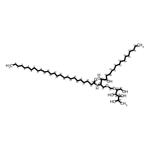 CCCCCCCCCCCCCCCCCCCCCCCCCC(=O)NC(COCOC(CO)[C@H](O)C(O)C(C)O)C(O)C(O)CCCCCCCCCCCCCC